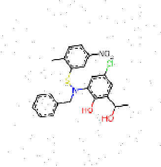 Cc1ccc([N+](=O)[O-])cc1SN(Cc1ccccc1)c1cc(Cl)cc(C(C)O)c1O